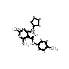 Cc1ccc(Oc2nn(C3CCCC3)c3nc(O)nc(N)c23)cc1